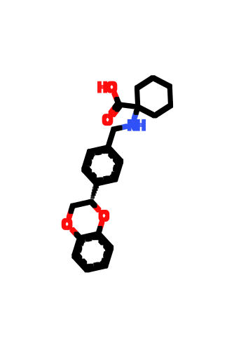 O=C(O)C1(NCc2ccc([C@H]3COc4ccccc4O3)cc2)CCCCC1